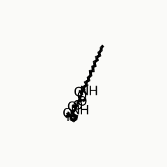 CCCCCCCCCCCCCCCCCCNC(=O)OCC(COC(=O)NCC1=CC=CCN1C(C)=O)OC